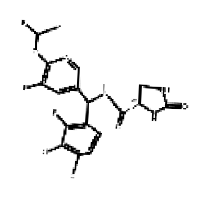 O=C1NC[C@@H](C(=O)NC(c2cnc(OC(F)F)c(F)c2)c2ccc(F)c(Cl)c2F)N1